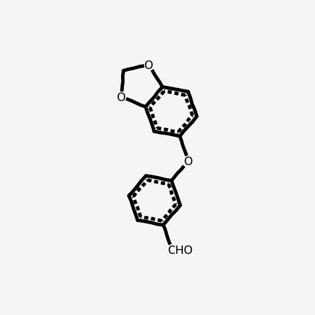 O=Cc1cccc(Oc2ccc3c(c2)OCO3)c1